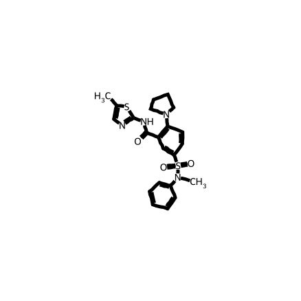 Cc1cnc(NC(=O)c2cc(S(=O)(=O)N(C)c3ccccc3)ccc2N2CCCC2)s1